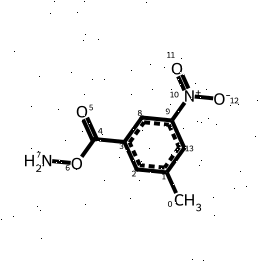 Cc1cc(C(=O)ON)cc([N+](=O)[O-])c1